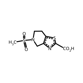 CS(=O)(=O)N1CCc2sc(C(=O)O)nc2C1